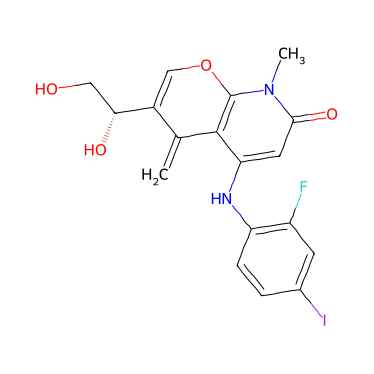 C=C1C([C@H](O)CO)=COc2c1c(Nc1ccc(I)cc1F)cc(=O)n2C